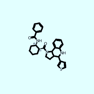 O=C(N[C@@H]1CCCC[C@@H]1C(=O)N1CCC2C(c3ccsc3)Nc3ccccc3C21)c1ccccc1